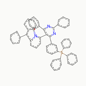 c1ccc(-c2nc(-c3ccccc3)c(-c3cccc4c(-c5ccccc5)c5ccccc5n34)c(-c3cccc(S(c4ccccc4)(c4ccccc4)c4ccccc4)c3)n2)cc1